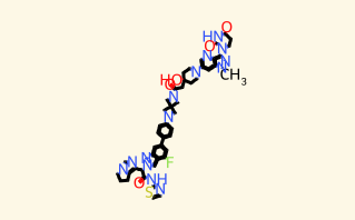 Cn1nc(N2CCC(=O)NC2=O)c2ncc(N3CCC(O)(CC(=O)N4CC5(C4)CN(c4ccc(-c6cc(F)c7cn(C(C(=O)Nc8nccs8)c8ncn9c8CCC9)nc7c6)cc4)C5)CC3)cc21